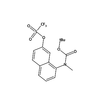 CN(C(=O)OC(C)(C)C)c1cccc2ccc(OS(=O)(=O)C(F)(F)F)cc12